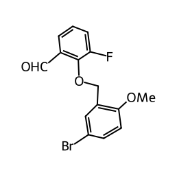 COc1ccc(Br)cc1COc1c(F)cccc1C=O